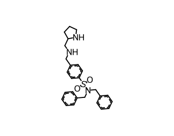 O=S(=O)(c1ccc(CNCC2CCCN2)cc1)N(Cc1ccccc1)Cc1ccccc1